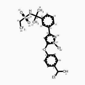 CCC(O)c1ccc(Oc2cc(-c3cccc(C(C)(C)NS(=O)(=O)CC(F)(F)F)c3)nn2CC)cc1